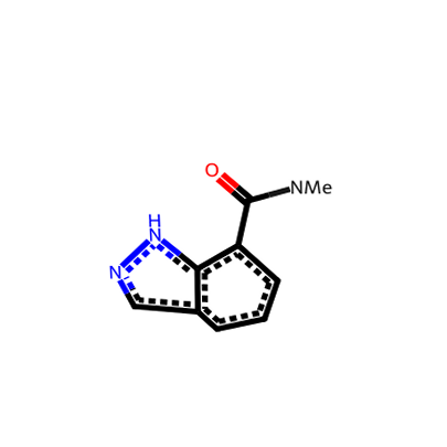 CNC(=O)c1cccc2cn[nH]c12